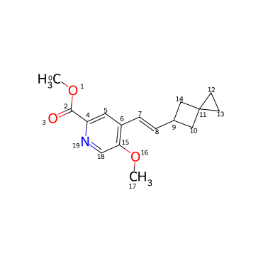 COC(=O)c1cc(/C=C/C2CC3(CC3)C2)c(OC)cn1